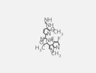 COc1nc(C2=NOC(C)C(c3cn(C)c4ncc(F)c(F)c34)N2)ccc1NC=N